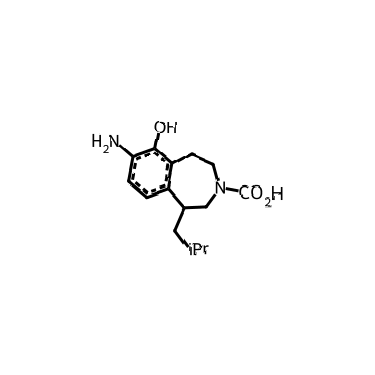 CC(C)CC1CN(C(=O)O)CCc2c1ccc(N)c2O